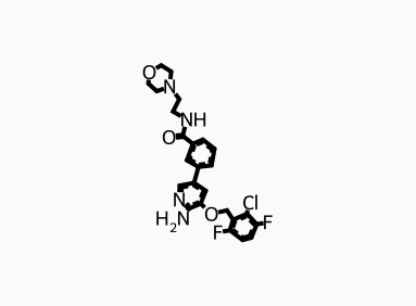 Nc1ncc(-c2cccc(C(=O)NCCN3CCOCC3)c2)cc1OCc1c(F)ccc(F)c1Cl